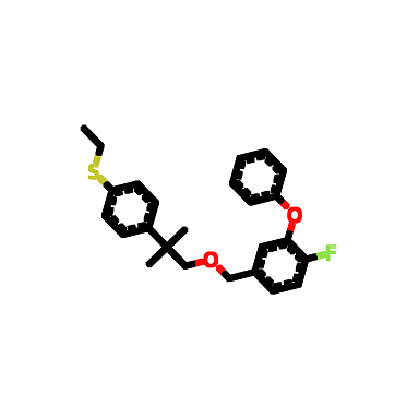 CCSc1ccc(C(C)(C)COCc2ccc(F)c(Oc3ccccc3)c2)cc1